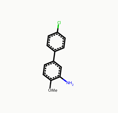 COc1ccc(-c2ccc(Cl)cc2)cc1N